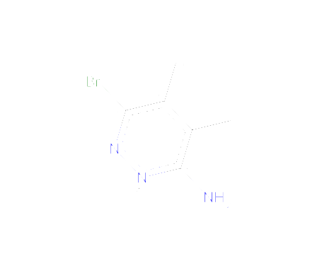 Cc1c(N)nnc(Br)c1C